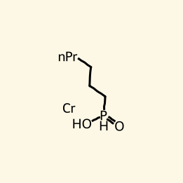 CCCCCC[PH](=O)O.[Cr]